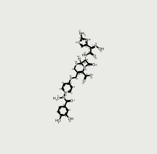 CN(C(=O)c1ccc(O)c(O)c1)[n+]1ccc(SCC2=C(C(=O)[O-])N3C(=O)[C@@H](NC(=O)/C(=N\O)c4csc(N)n4)[C@H]3SC2)cc1